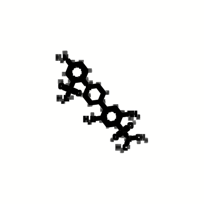 CN(C)S(=O)(=O)c1cc(N)c(C2CCN(c3ccc(N)cc3S(N)(=O)=O)CC2)cc1N